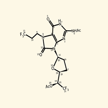 CC(=O)Nc1nc2c(c(=O)[nH]1)n(CCC(F)(F)F)c(=O)n2[C@H]1CC[C@@H]([C@H](OC(C)=O)C(F)(F)F)O1